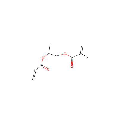 C=CC(=O)OC(C)COC(=O)C(=C)C